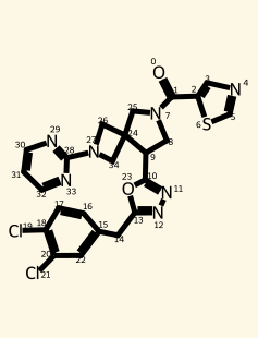 O=C(c1cncs1)N1CC(c2nnc(Cc3ccc(Cl)c(Cl)c3)o2)C2(C1)CN(c1ncccn1)C2